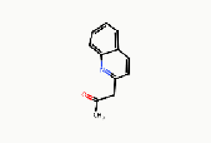 CC(=O)Cc1ccc2ccccc2n1